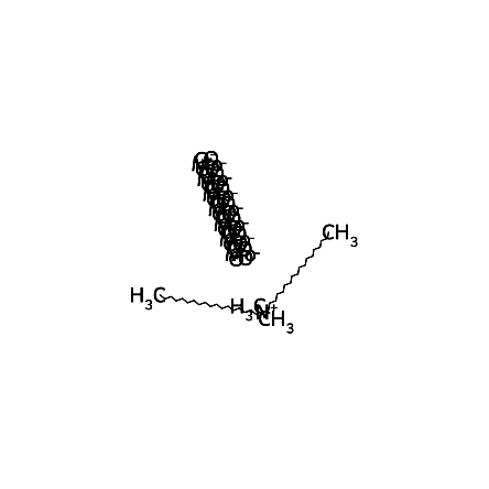 CCCCCCCCCCCCCCCCCC[N+](C)(C)CCCCCCCCCCCCCCCCCC.[O]=[Mo](=[O])([O-])[O-].[O]=[Mo](=[O])([O-])[O-].[O]=[Mo](=[O])([O-])[O-].[O]=[Mo](=[O])([O-])[O-].[O]=[Mo](=[O])([O-])[O-].[O]=[Mo](=[O])([O-])[O-].[O]=[Mo](=[O])([O-])[O-]